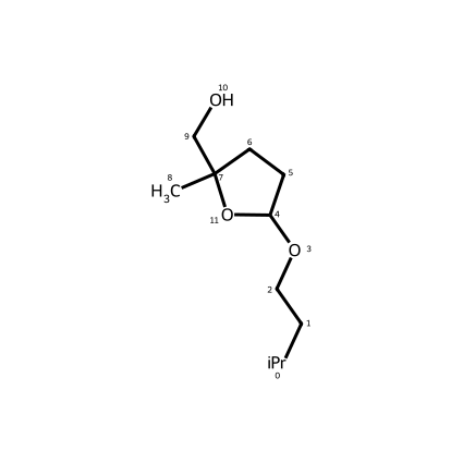 CC(C)CCOC1CCC(C)(CO)O1